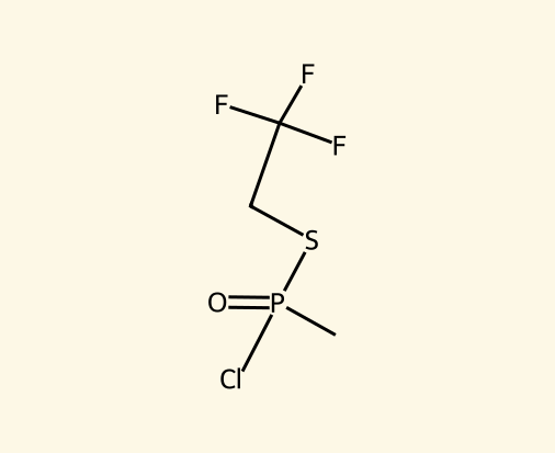 CP(=O)(Cl)SCC(F)(F)F